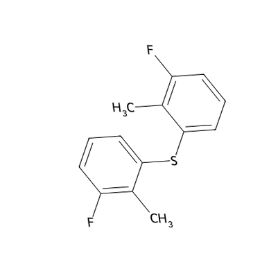 Cc1c(F)cccc1Sc1cccc(F)c1C